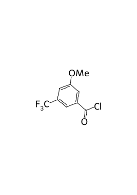 COc1cc(C(=O)Cl)cc(C(F)(F)F)c1